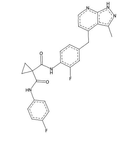 Cc1n[nH]c2nccc(Cc3ccc(NC(=O)C4(C(=O)Nc5ccc(F)cc5)CC4)c(F)c3)c12